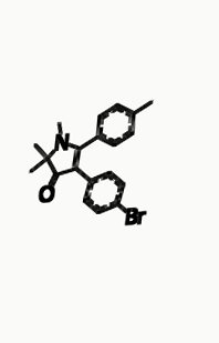 Cc1ccc(C2=C(c3ccc(Br)cc3)C(=O)C(C)(C)N2C)cc1